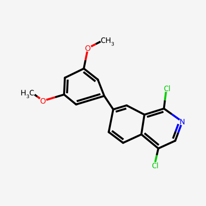 COc1cc(OC)cc(-c2ccc3c(Cl)cnc(Cl)c3c2)c1